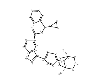 O=C(NC(c1ccccn1)C1CC1)c1ccc2[nH]nc(-c3ccc(N4[C@@H]5CC[C@H]4COC5)cc3)c2c1